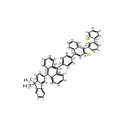 CC1(C)c2ccccc2-c2cc(-c3c4ccccc4c(-c4ccc(-c5cc6sc7ccc8c9ccccc9sc8c7c6c6ccccc56)cc4)c4ccccc34)ccc21